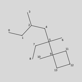 CCC(C)CC(C)(CC)C1(C)CCC1